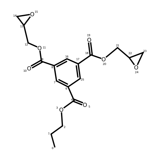 CCCOC(=O)c1cc(C(=O)OCC2CO2)cc(C(=O)OCC2CO2)c1